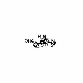 Nc1nc(-c2nccs2)nc2sc(C3CN(C=O)CCO3)cc12